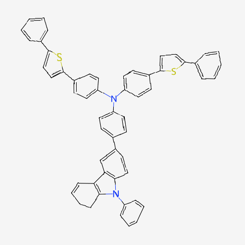 C1=Cc2c(n(-c3ccccc3)c3ccc(-c4ccc(N(c5ccc(-c6ccc(-c7ccccc7)s6)cc5)c5ccc(-c6ccc(-c7ccccc7)s6)cc5)cc4)cc23)CC1